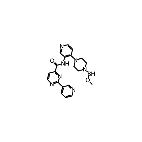 COBN1CCN(c2ccncc2NC(=O)c2ccnc(-c3cccnc3)n2)CC1